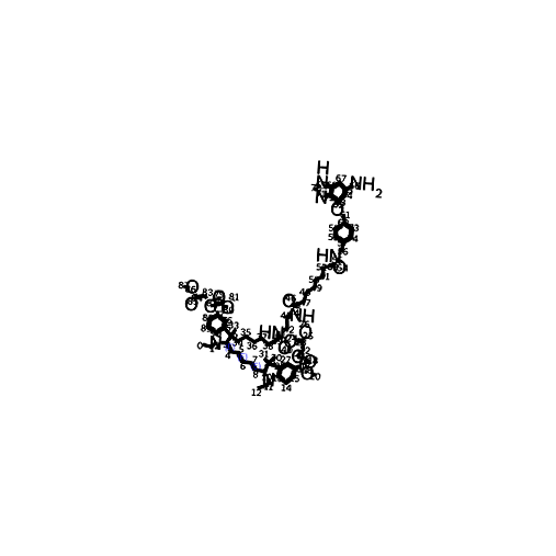 CCN1/C(=C/C=C/C=C/C2=[N+](CC)c3ccc(P(=O)(OC)OCC(=O)OC)cc3C2(C)C)C(C)(CCCCCC(=O)NCCNC(=O)CCCCCCC(=O)NCc2ccc(COc3cc(N)cc4[nH]cnc34)cc2)c2cc(P(=O)(OC)OCC(=O)OC)ccc21